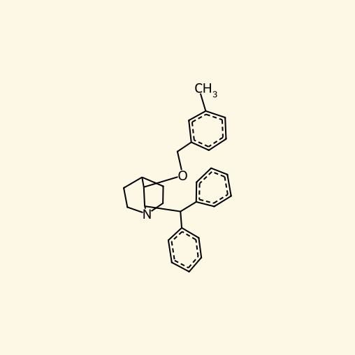 Cc1cccc(COC2C3CCN(CC3)C2C(c2ccccc2)c2ccccc2)c1